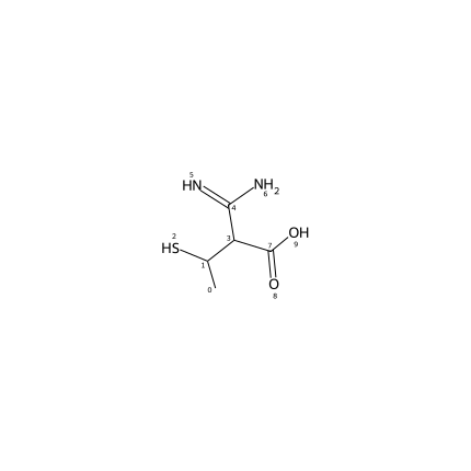 CC(S)C(C(=N)N)C(=O)O